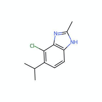 Cc1nc2c(Cl)c(C(C)C)ccc2[nH]1